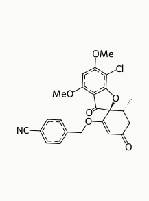 COc1cc(OC)c2c(c1Cl)O[C@]1(C2=O)C(OCc2ccc(C#N)cc2)=CC(=O)C[C@H]1C